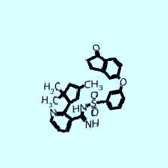 CC1CC(c2ncccc2C(=N)NS(=O)(=O)c2cccc(Oc3ccc4c(c3)CCC4=O)c2)C(C)(C)C1